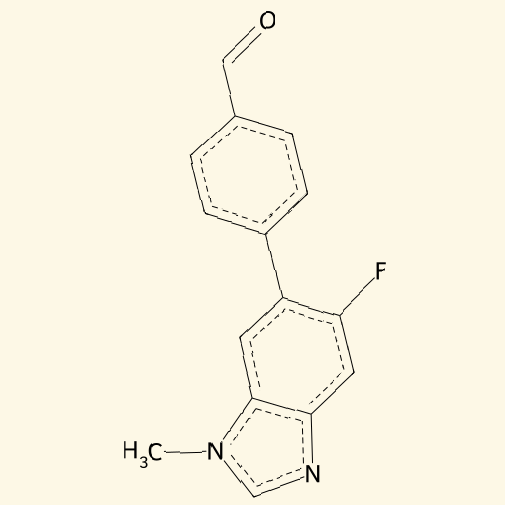 Cn1cnc2cc(F)c(-c3ccc(C=O)cc3)cc21